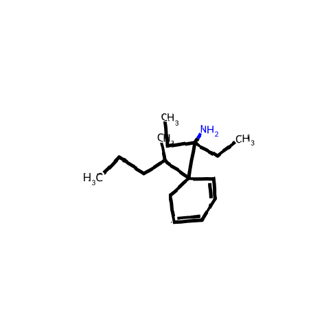 CCCC(C)C1(C(N)(CC)CC)C=CC=[C]C1